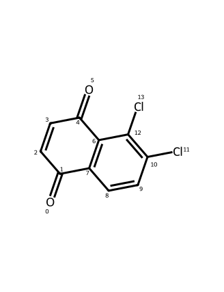 O=C1C=CC(=O)c2c1ccc(Cl)c2Cl